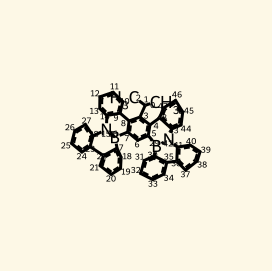 CC(C)c1c2c(cc3c1-c1ccccc1N1B3c3ccccc3-c3ccccc31)B1c3ccccc3-c3ccccc3N1c1ccccc1-2